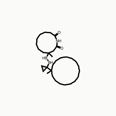 CC1(BBC2(C3(C)CCCCCCCCCCCCCCC3)CC2)CCCCCCCC(=O)NC(=O)C1